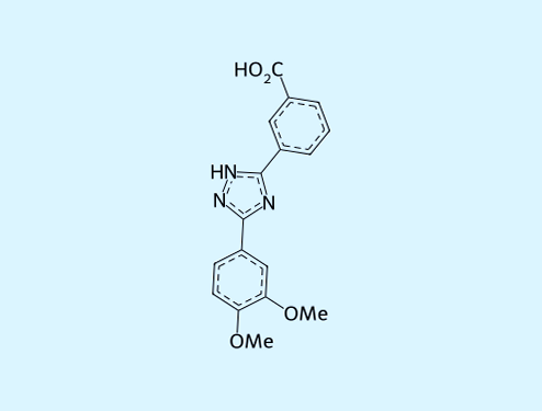 COc1ccc(-c2n[nH]c(-c3cccc(C(=O)O)c3)n2)cc1OC